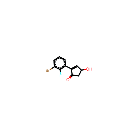 O=C1CC(O)C=C1c1cccc(Br)c1F